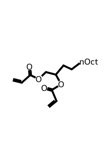 C=CC(=O)OCC(CCCCCCCCCC)OC(=O)C=C